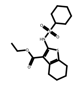 CCOC(=O)c1c(NS(=O)(=O)C2CCCCC2)sc2c1CCCC2